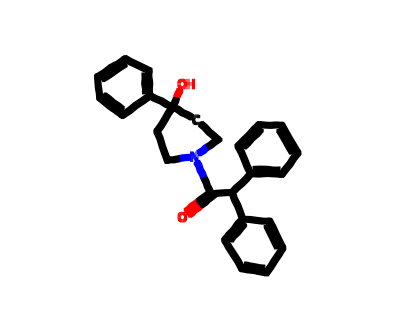 O=C(C(c1ccccc1)c1ccccc1)N1CCC(O)(c2ccccc2)CC1